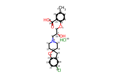 Cc1ccc(OC[C@@H](O)CN2CCC3(CC2)Cc2cc(Cl)ccc2O3)c(C(=O)O)c1.Cl